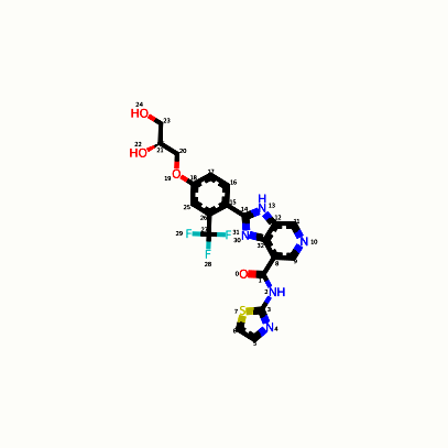 O=C(Nc1nccs1)c1cncc2[nH]c(-c3ccc(OC[C@@H](O)CO)cc3C(F)(F)F)nc12